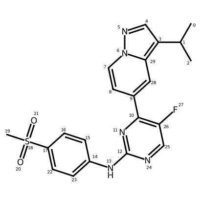 CC(C)c1cnn2ccc(-c3nc(Nc4ccc(S(C)(=O)=O)cc4)ncc3F)cc12